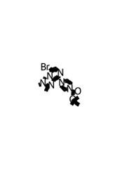 CC(=Nc1nc(Br)cnc1N1CCN(C(=O)OC(C)(C)C)CC1)N(C)C